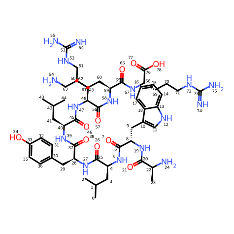 CC(C)C[C@H](NC(=O)[C@H](Cc1c[nH]c2ccccc12)NC(=O)[C@H](C)N)C(=O)N[C@@H](Cc1ccc(O)cc1)C(=O)N[C@@H](CC(C)C)C(=O)N[C@@H](CCCNC(=N)N)C(=O)N[C@@H](CCCCN)C(=O)N[C@@H](CCCNC(=N)N)C(=O)O